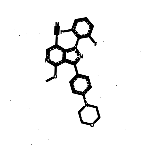 COc1ncc(C#N)c2c1c(-c1ccc(N3CCOCC3)cc1)nn2-c1c(F)cccc1F